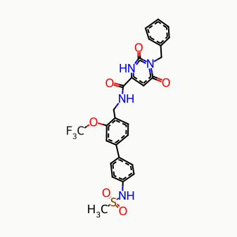 CS(=O)(=O)Nc1ccc(-c2ccc(CNC(=O)c3cc(=O)n(Cc4ccccc4)c(=O)[nH]3)c(OC(F)(F)F)c2)cc1